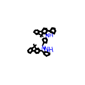 CC1(C)c2ccccc2-c2ccc(C3c4ccccc4NN3Cc3ccc(Nc4c(-c5ccccc5)ccc5c4C(C)(C)c4ccccc4-5)cc3)cc21